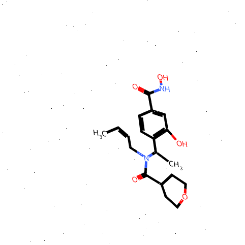 C/C=C\CN(C(=O)C1CCOCC1)C(C)c1ccc(C(=O)NO)cc1O